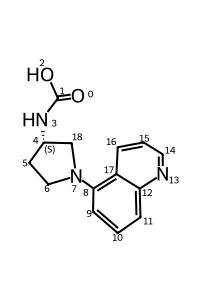 O=C(O)N[C@H]1CCN(c2cccc3ncccc23)C1